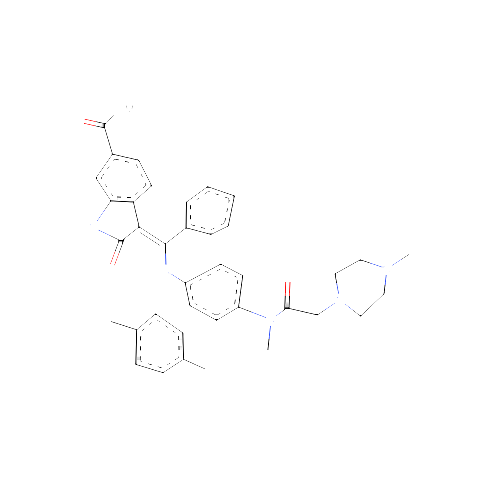 COC(=O)c1ccc2c(c1)NC(=O)/C2=C(\Nc1ccc(N(C)C(=O)CN2CCN(C)CC2)cc1)c1ccccc1.Cc1ccc(S(=O)(=O)O)cc1